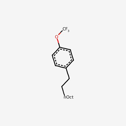 CCCCCCCCCCc1ccc(OC(F)(F)F)cc1